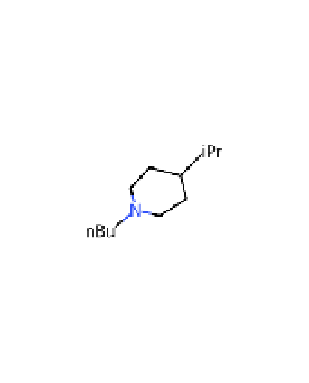 CCCCN1CCC(C(C)C)CC1